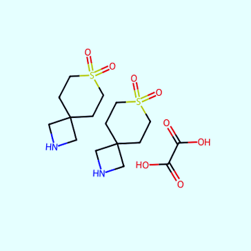 O=C(O)C(=O)O.O=S1(=O)CCC2(CC1)CNC2.O=S1(=O)CCC2(CC1)CNC2